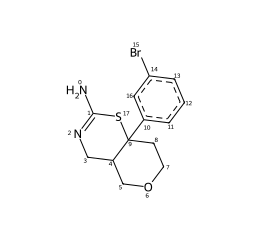 NC1=NCC2COCCC2(c2cccc(Br)c2)S1